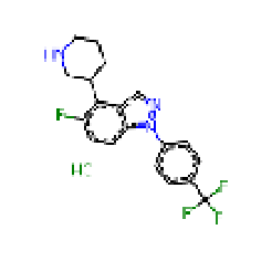 Cl.Fc1ccc2c(cnn2-c2ccc(C(F)(F)F)cc2)c1C1CCCNC1